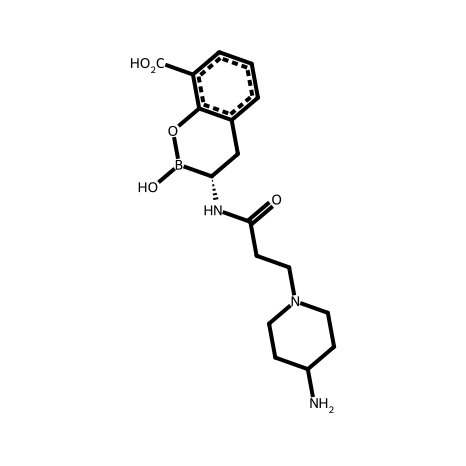 NC1CCN(CCC(=O)N[C@H]2Cc3cccc(C(=O)O)c3OB2O)CC1